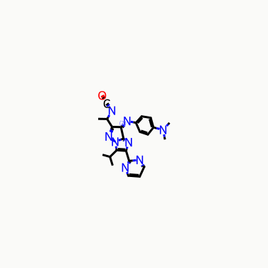 CC(N=C=O)C1=Nn2c(nc(-c3ncccn3)c2C(C)C)/C1=N\c1ccc(N(C)C)cc1